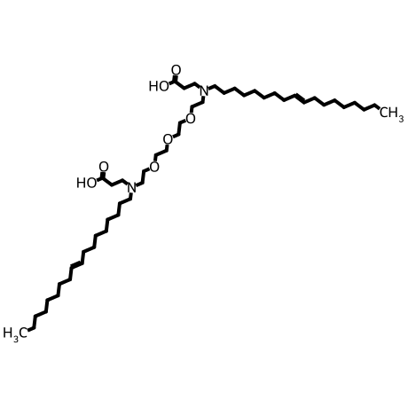 CCCCCCCC/C=C/CCCCCCCCN(CCOCCOCCOCCN(CCCCCCCC/C=C/CCCCCCCC)CCC(=O)O)CCC(=O)O